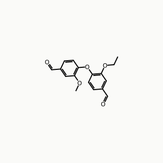 CCOc1cc(C=O)ccc1Oc1ccc(C=O)cc1OC